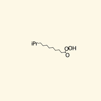 CC(C)CCCCCCCCC(=O)OO